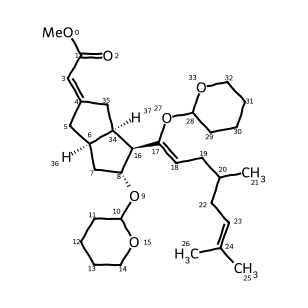 COC(=O)C=C1C[C@@H]2C[C@@H](OC3CCCCO3)[C@H](C(=CCC(C)CC=C(C)C)OC3CCCCO3)[C@@H]2C1